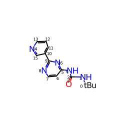 CC(C)(C)NC(=O)Nc1ccnc(-c2cccnc2)n1